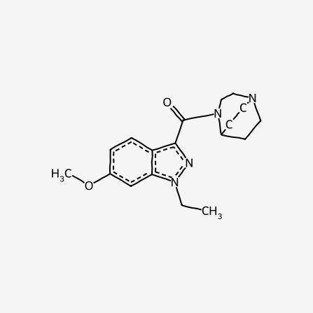 CCn1nc(C(=O)N2CCN3CCC2CC3)c2ccc(OC)cc21